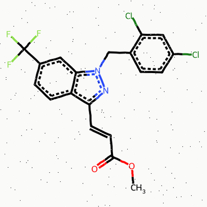 COC(=O)C=Cc1nn(Cc2ccc(Cl)cc2Cl)c2cc(C(F)(F)F)ccc12